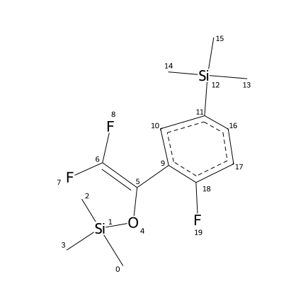 C[Si](C)(C)OC(=C(F)F)c1cc([Si](C)(C)C)ccc1F